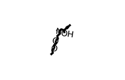 CC#CC(O)CN(C)CCCOCCOCCC